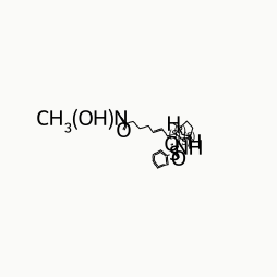 CN(O)C(=O)CCCC=CC[C@H]1[C@@H]2CC[C@@H](C2)[C@@H]1NS(=O)(=O)c1ccccc1